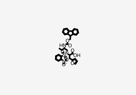 CCC(CN(C(Cc1ccco1)C(=O)O)S(=O)(=O)c1ccccc1[N+](=O)[O-])NC(=O)OCC1c2ccccc2-c2ccccc21